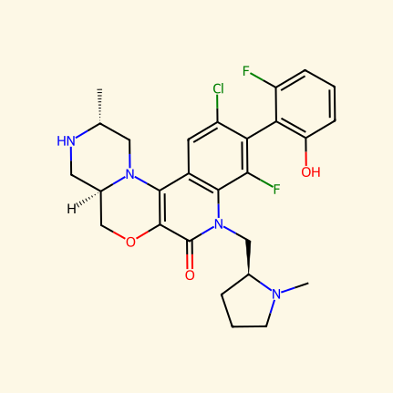 C[C@@H]1CN2c3c(c(=O)n(C[C@@H]4CCCN4C)c4c(F)c(-c5c(O)cccc5F)c(Cl)cc34)OC[C@H]2CN1